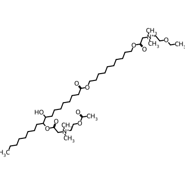 CCCCCCCCC(OC(=O)C[N+](C)(C)CCOC(C)=O)C(O)CCCCCCCC(=O)OCCCCCCCCCCOC(=O)C[N+](C)(C)CCOCC